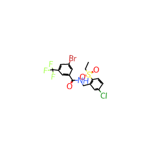 CCS(=O)(=O)c1ccc(Cl)cc1CNC(=O)c1cc(Br)cc(C(F)(F)F)c1